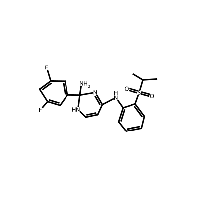 CC(C)S(=O)(=O)c1ccccc1NC1=NC(N)(c2cc(F)cc(F)c2)NC=C1